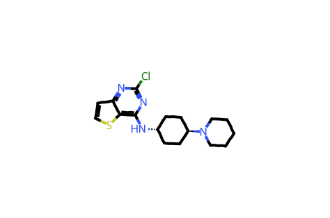 Clc1nc(N[C@H]2CC[C@H](N3CCCCC3)CC2)c2sccc2n1